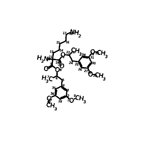 COc1cc(CC(C)OC(=O)C(N)(CCCCCN)C(=O)OC(C)Cc2cc(OC)cc(OC)c2)cc(OC)c1